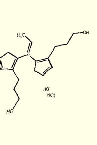 C[CH]=[Zr]([C]1=C(CCCO)C=CC1)[C]1=C(CCCO)C=CC1.Cl.Cl